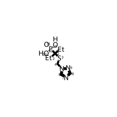 CCC(CC)(SCn1cncn1)P(=O)(O)O